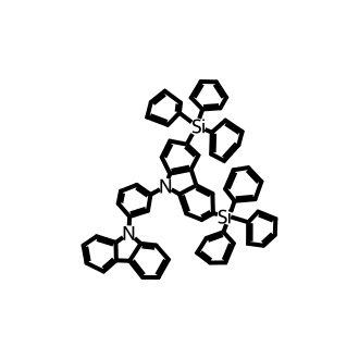 c1ccc([Si](c2ccccc2)(c2ccccc2)c2ccc3c(c2)c2cc([Si](c4ccccc4)(c4ccccc4)c4ccccc4)ccc2n3-c2cccc(-n3c4ccccc4c4ccccc43)c2)cc1